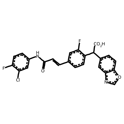 O=C(C=Cc1ccc(C(C(=O)O)c2ccc3ocnc3c2)c(F)c1)Nc1ccc(F)c(Cl)c1